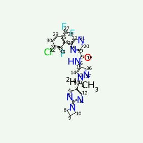 [2H][C@](C)(c1cnc(N2CCC2)nc1)n1cc(NC(=O)c2cncc(-c3c(C(F)F)ccc(Cl)c3F)n2)cn1